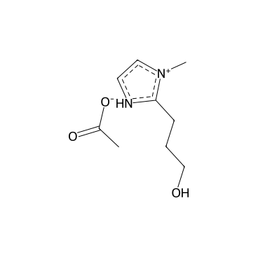 CC(=O)[O-].C[n+]1cc[nH]c1CCCO